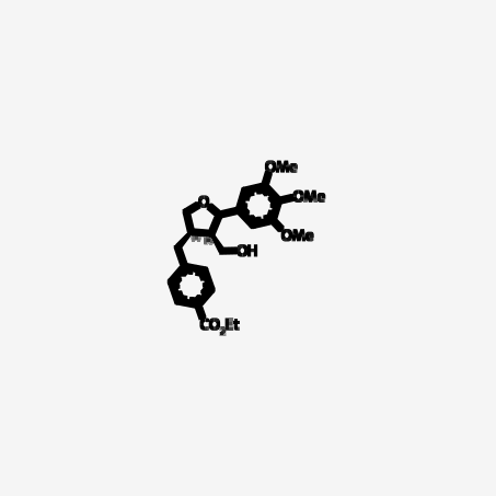 CCOC(=O)c1ccc(C[C@H]2COC(c3cc(OC)c(OC)c(OC)c3)[C@H]2CO)cc1